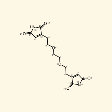 O=C1C=C(CCOCCOCCC2=CC(=O)NC2=O)C(=O)N1